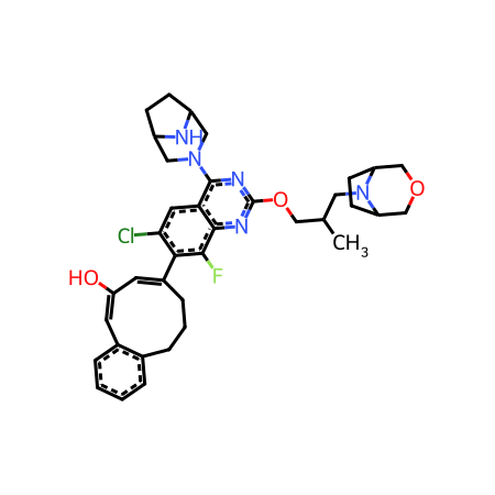 CC(COc1nc(N2CC3CCC(C2)N3)c2cc(Cl)c(/C3=C/C(O)=C\c4ccccc4CCC3)c(F)c2n1)CN1C2CCC1COC2